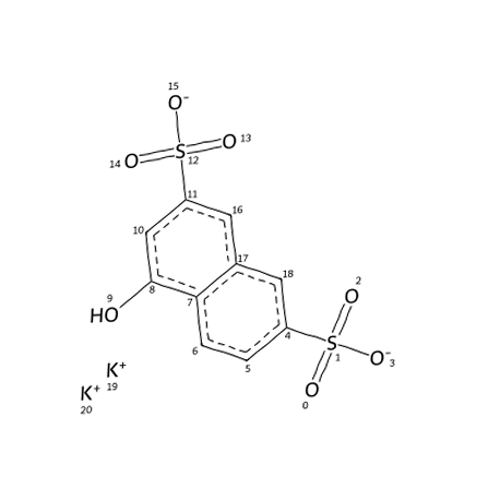 O=S(=O)([O-])c1ccc2c(O)cc(S(=O)(=O)[O-])cc2c1.[K+].[K+]